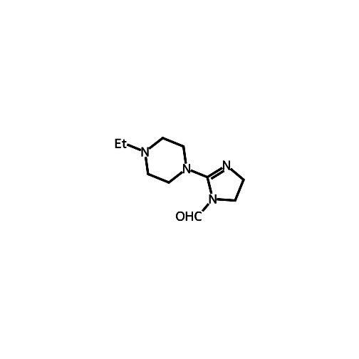 CCN1CCN(C2=NCCN2C=O)CC1